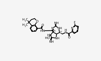 CC1(C)CCOc2c(C(=O)NC3CN4C(=N)N[C@@H](CNC(=O)c5cccc(F)n5)C5NC(=N)NC54[C@@H]3O)cccc21